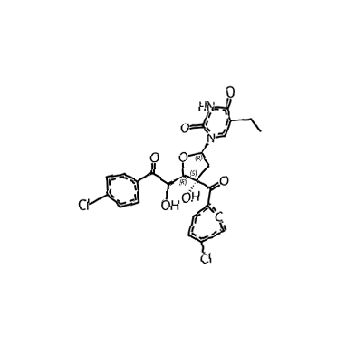 CCc1cn([C@H]2C[C@@](O)(C(=O)c3ccc(Cl)cc3)[C@@H](C(O)C(=O)c3ccc(Cl)cc3)O2)c(=O)[nH]c1=O